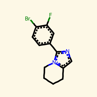 Fc1cc(-c2ncc3n2CCCC3)ccc1Br